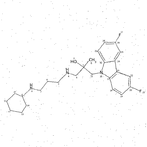 CC(O)(CNCCCNC1CCCCC1)Cn1c2ccc(F)cc2c2cc(F)ccc21